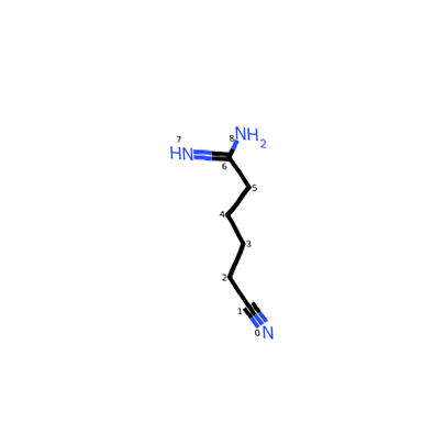 N#CCCCCC(=N)N